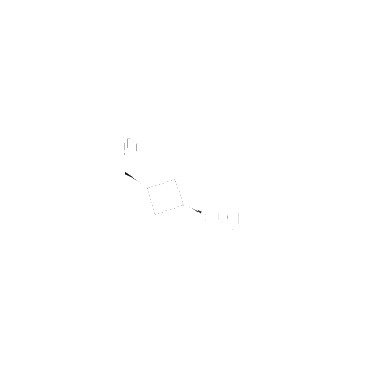 CC(C)C[C@H]1C[C@@H](C(=O)O)C1